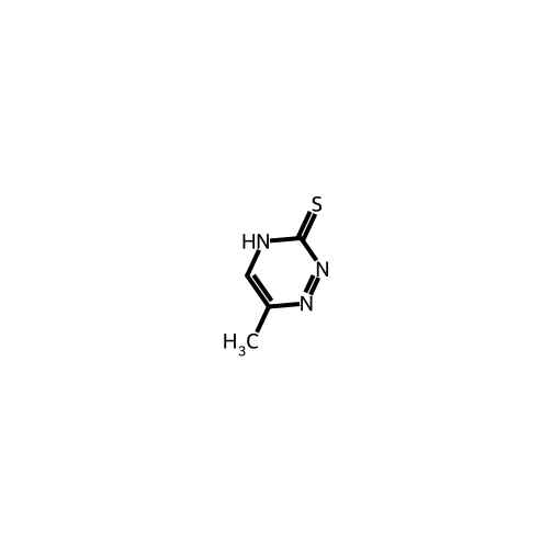 Cc1c[nH]c(=S)nn1